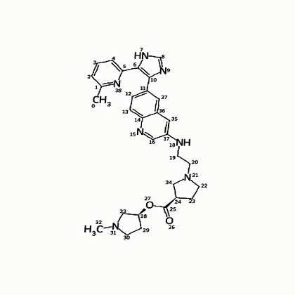 Cc1cccc(-c2[nH]cnc2-c2ccc3ncc(NCCN4CC[C@@H](C(=O)O[C@H]5CCN(C)C5)C4)cc3c2)n1